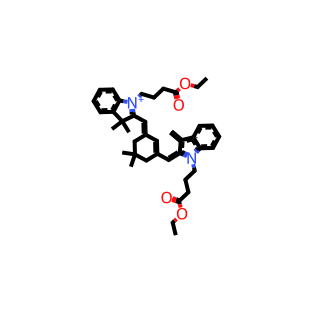 C=c1/c(=C\C2=CC(=C/C3=[N+](CCCC(=O)OCC)c4ccccc4C3(C)C)/CC(C)(C)C2)n(CCCC(=O)OCC)c2ccccc12